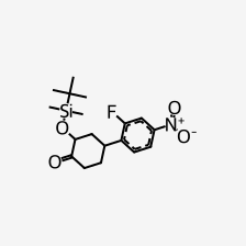 CC(C)(C)[Si](C)(C)OC1CC(c2ccc([N+](=O)[O-])cc2F)CCC1=O